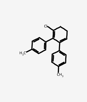 Cc1ccc(C2=CC[CH]C(Cl)=C2c2ccc(C)cc2)cc1